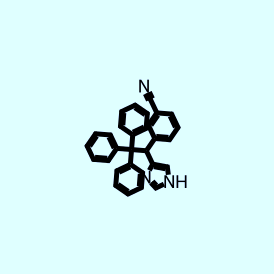 N#Cc1cccc(C(c2c[nH]cn2)C(c2ccccc2)(c2ccccc2)c2ccccc2)c1